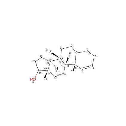 C[C@]12C=CCCC1CC[C@@H]1[C@H]2CC[C@]2(C)C(O)CC[C@@H]12